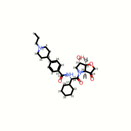 CCCN1CCC(c2ccc(C(=O)N[C@H](C(=O)N3C[C@H](O)[C@H]4OCC(=O)[C@H]43)C3CCCCC3)cc2)CC1